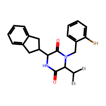 CCC(CC)C1C(=O)NC(C2Cc3ccccc3C2)C(=O)N1Cc1ccccc1S